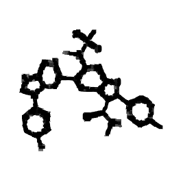 CNC(=O)c1c(-c2ccc(C)cc2)oc2cc(N(C)S(C)(=O)=O)c(-c3cc4c(cn3)ncn4-c3ccc(F)cc3)cc12